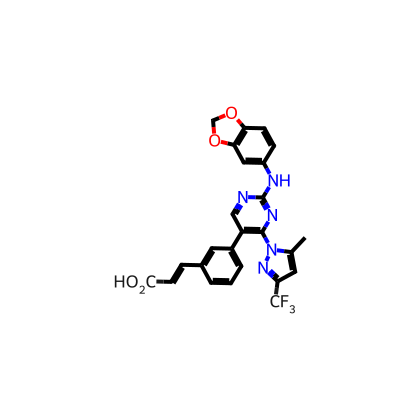 Cc1cc(C(F)(F)F)nn1-c1nc(Nc2ccc3c(c2)OCO3)ncc1-c1cccc(C=CC(=O)O)c1